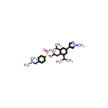 CC(C)c1cc(-c2cnn(C)c2)cc(C(C)C)c1CC(=O)/N=S(\N=O)c1ccc(CN(C)C)cc1